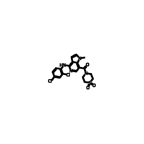 Cn1ccc2c(Nc3ccc(Cl)cc3Cl)ncc(C(=O)N3CCS(=O)(=O)CC3)c21